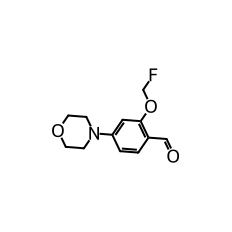 O=Cc1ccc(N2CCOCC2)cc1OCF